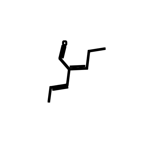 CC=CC(C=O)=CCC